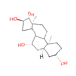 C[C@]12CCC3C(C1C[C@@H](O)[C@@H]2O)[C@@H](O)C[C@@H]1C[C@@H](O)CC[C@]31C